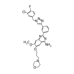 COc1cc2nc(-c3cccc(-c4cn(Cc5ccc(F)c(Cl)c5)nn4)c3)nc(N)c2cc1OCCCN1CCOCC1